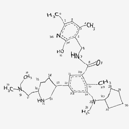 Cc1cc(C)c(CNC(=O)c2cc(C3CCC(CN(C)C)NC3)cc(N(C)C3CCCC3)c2C)c(O)n1